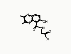 Cc1nc2ccc(O)c(C(=O)NCC(=O)O)c2nc1C